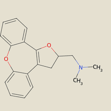 CN(C)CC1CC2=C(O1)c1ccccc1Oc1ccccc12